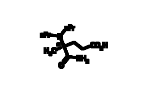 CCCN(CCC)[C@@](C)(CCC(=O)O)C(N)=O